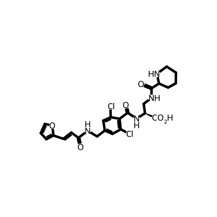 O=C(/C=C/c1ccco1)NCc1cc(Cl)c(C(=O)N[C@@H](CNC(=O)C2CCCCN2)C(=O)O)c(Cl)c1